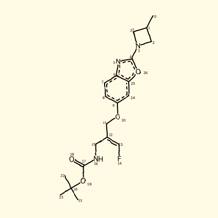 CC1CN(c2nc3ccc(OCC(=CF)CNC(=O)OC(C)(C)C)cc3o2)C1